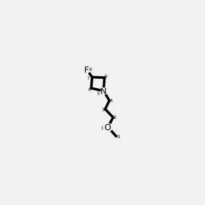 COCCCN1CC(F)C1